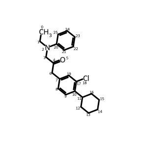 CCN(CC(=O)Cc1ccc(C2CCCCC2)c(Cl)c1)c1ccccc1